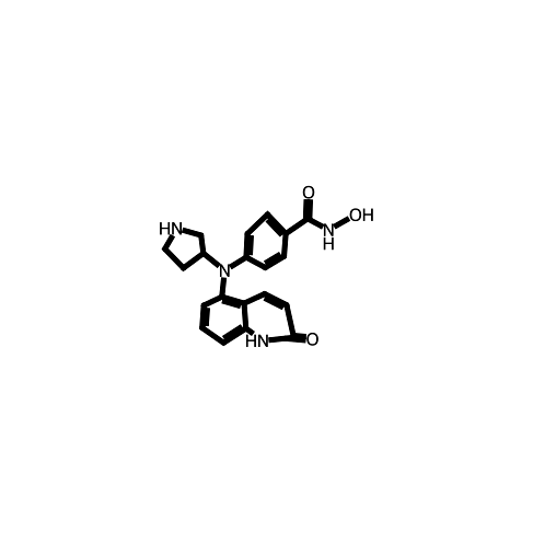 O=C(NO)c1ccc(N(c2cccc3[nH]c(=O)ccc23)C2CCNC2)cc1